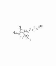 CCOc1ccc(C#N)c(C#N)c1OCCOCCO